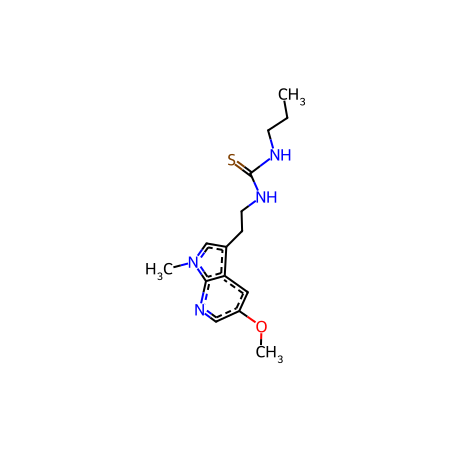 CCCNC(=S)NCCc1cn(C)c2ncc(OC)cc12